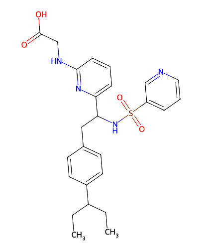 CCC(CC)c1ccc(CC(NS(=O)(=O)c2cccnc2)c2cccc(NCC(=O)O)n2)cc1